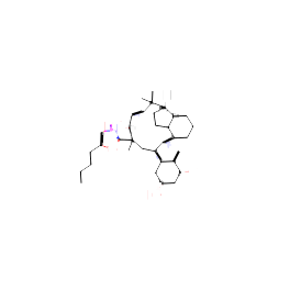 C=C1/C(=C2\C=C3/CCC[C@@]4(C)C3CC[C@@H]4C(C)(C)/C=C/[C@@H](O)C(C)(c3ncc(CCCC)o3)C2)C[C@@H](O)C[C@@H]1O